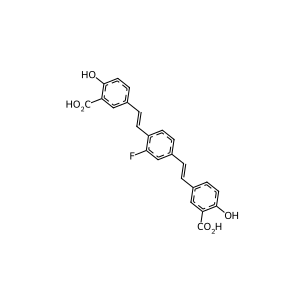 O=C(O)c1cc(/C=C/c2ccc(/C=C/c3ccc(O)c(C(=O)O)c3)c(F)c2)ccc1O